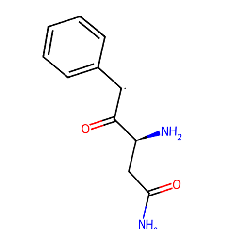 NC(=O)C[C@H](N)C(=O)[CH]c1ccccc1